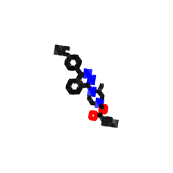 C[C@H]1CN(OC(=O)C(C)(C)C)CCN1c1nnc(-c2ccc(C#N)cc2)c2ccccc12